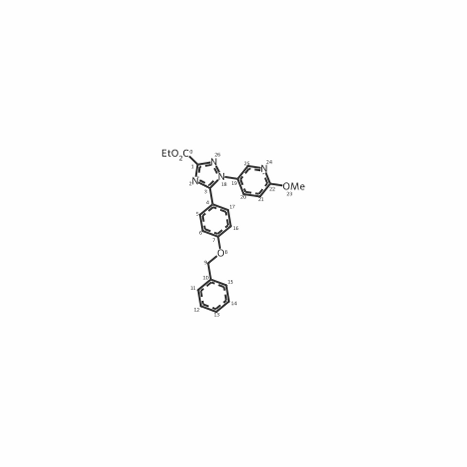 CCOC(=O)c1nc(-c2ccc(OCc3ccccc3)cc2)n(-c2ccc(OC)nc2)n1